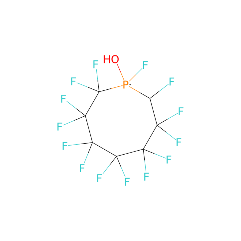 O[P]1(F)C(F)C(F)(F)C(F)(F)C(F)(F)C(F)(F)C(F)(F)C1(F)F